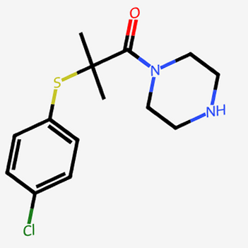 CC(C)(Sc1ccc(Cl)cc1)C(=O)N1CCNCC1